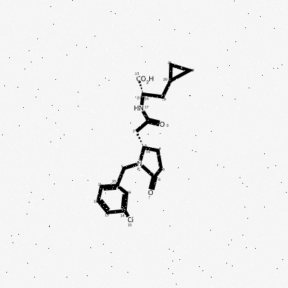 O=C(C[C@@H]1CCC(=O)N1Cc1cccc(Cl)c1)N[C@@H](CC1CC1)C(=O)O